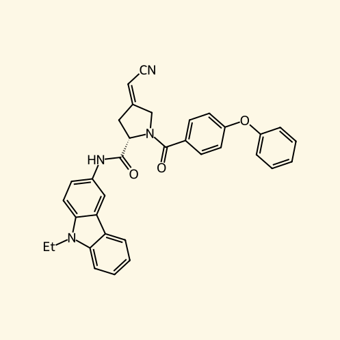 CCn1c2ccccc2c2cc(NC(=O)[C@@H]3CC(=CC#N)CN3C(=O)c3ccc(Oc4ccccc4)cc3)ccc21